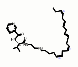 CC/C=C\CC=CCC=CC/C=C\C/C=C\CCCCNCCNC(=O)[C@@H](NC(=O)c1cccnc1)C(C)C